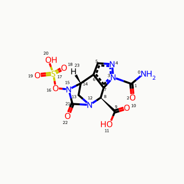 NC(=O)n1ncc2c1[C@@H](C(=O)O)N1C[C@@H]2N(OS(=O)(=O)O)C1=O